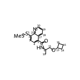 CSSc1ccc(C(=O)NC(C)COC2CCC2)c2cccnc12